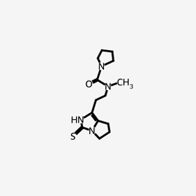 CN(CCc1[nH]c(=S)n2c1CCC2)C(=O)N1CCCC1